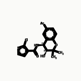 CC(=O)c1ccc2c(c1)[C@H](NC(=O)c1ccsc1Cl)[C@@H](O)C(C)(C)O2